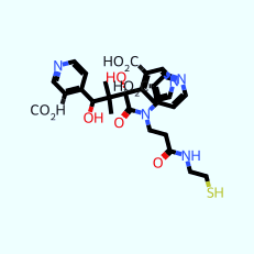 CC(C)(C(O)c1ccncc1C(=O)O)[C@](O)(C(=O)N(CCC(=O)NCCS)c1ccncc1C(=O)O)c1ccncc1C(=O)O